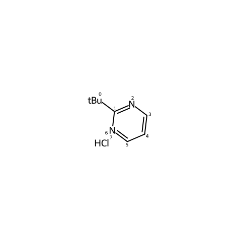 CC(C)(C)c1ncccn1.Cl